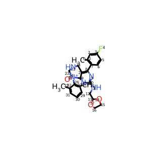 Cc1cc(F)ccc1-c1nc(NCC2OCCO2)nc2c1CNC[N+]2([O-])c1c(C)cccc1C